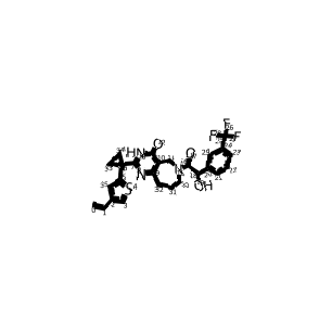 C=Cc1csc(C2(c3nc4c(c(=O)[nH]3)CN(C(=O)C(O)c3cccc(C(F)(F)F)c3)CCC4)CC2)c1